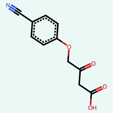 N#Cc1ccc(OCC(=O)CC(=O)O)cc1